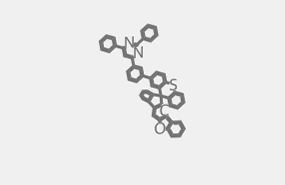 c1ccc(-c2cc(-c3cccc(-c4ccc5c(c4)C4(c6ccccc6S5)c5ccccc5-c5cc6oc7ccccc7c6cc54)c3)nc(-c3ccccc3)n2)cc1